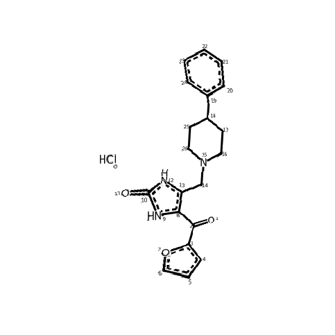 Cl.O=C(c1ccco1)c1[nH]c(=O)[nH]c1CN1CCC(c2ccccc2)CC1